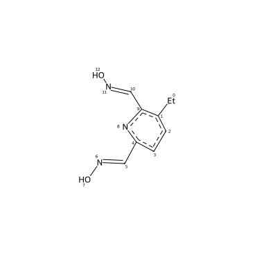 CCc1ccc(C=NO)nc1C=NO